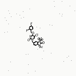 CC(=O)n1c(=O)n(S(C)(=O)=O)c2cc(Cn3cc(Cl)c(OCc4ccc(F)cc4F)nc3=O)ccc21